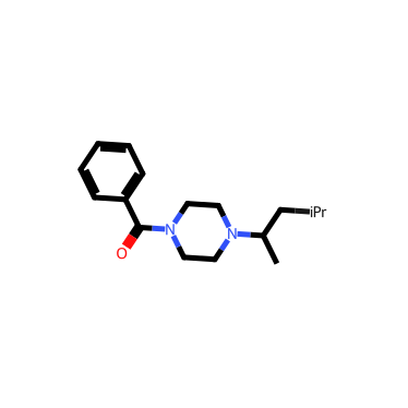 CC(C)CC(C)N1CCN(C(=O)c2ccccc2)CC1